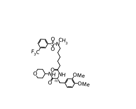 COc1ccc(C[C@H](NC(=O)CCCCCN(C)S(=O)(=O)c2cccc(C(F)(F)F)c2)C(=O)NC2CCOCC2)cc1OC